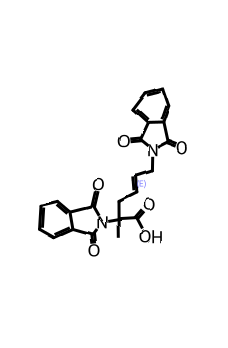 CC(C/C=C/CN1C(=O)c2ccccc2C1=O)(C(=O)O)N1C(=O)c2ccccc2C1=O